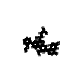 CCOc1ncccc1-c1ccc(N2CCN(C(=O)c3ccc(Cl)cc3C(F)F)C[C@H]2CC)c(C(=O)NCCN(C)C)n1